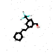 O=Cc1cc(/C=C/c2ccccc2)cc(C(F)(F)F)c1